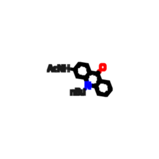 CCCCn1c2ccccc2c(=O)c2ccc(NC(C)=O)cc21